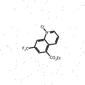 CCOC(=O)c1cc(C(F)(F)F)cc2c1ccc[n+]2[O-]